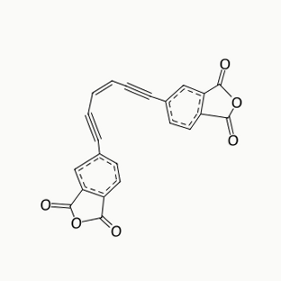 O=C1OC(=O)c2cc(C#C/C=C\C#Cc3ccc4c(c3)C(=O)OC4=O)ccc21